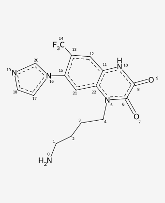 NCCCCn1c(=O)c(=O)[nH]c2cc(C(F)(F)F)c(-n3ccnc3)cc21